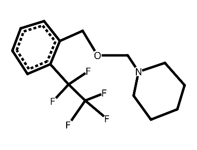 FC(F)(F)C(F)(F)c1ccccc1COCN1CCCCC1